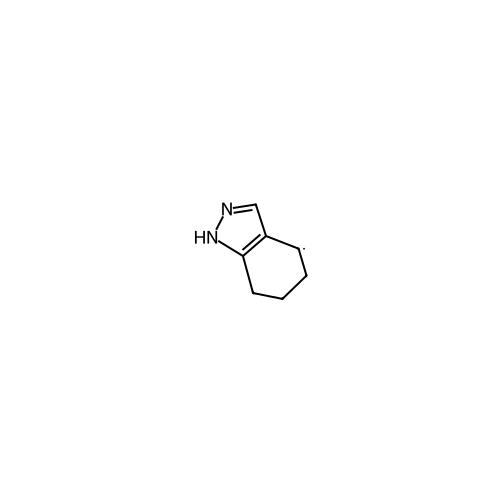 [CH]1CCCc2[nH]ncc21